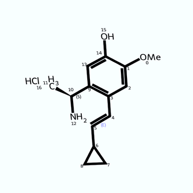 COc1cc(/C=C/C2CC2)c([C@H](C)N)cc1O.Cl